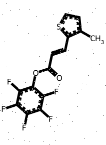 Cc1ccsc1C=CC(=O)Oc1c(F)c(F)c(F)c(F)c1F